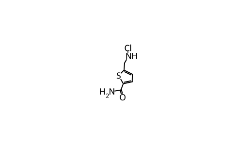 NC(=O)c1ccc(CNCl)s1